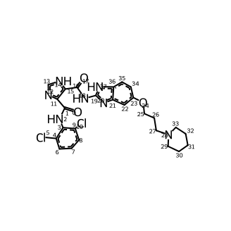 O=C(Nc1c(Cl)cccc1Cl)c1nc[nH]c1C(=O)Nc1nc2cc(OCCCN3CCCCC3)ccc2[nH]1